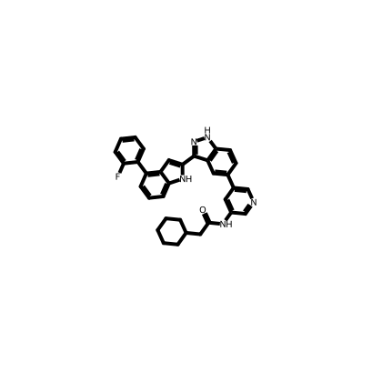 O=C(CC1CCCCC1)Nc1cncc(-c2ccc3[nH]nc(-c4cc5c(-c6ccccc6F)cccc5[nH]4)c3c2)c1